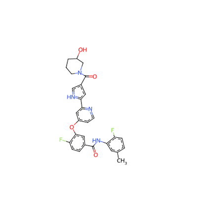 Cc1ccc(F)c(NC(=O)c2ccc(F)c(Oc3ccnc(-c4cc(C(=O)N5CCCC(O)C5)c[nH]4)c3)c2)c1